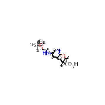 CC(Oc1ccc(NCCO[Si](C)(C)C(C)(C)C)cn1)C(C)(C)C(=O)O